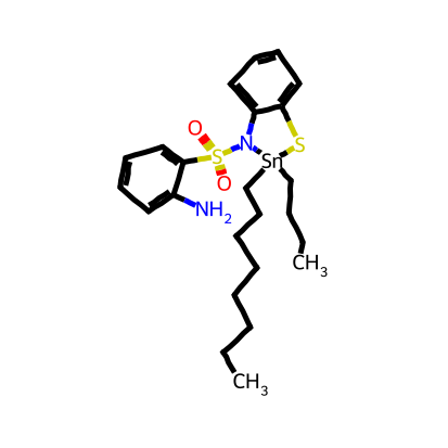 CCCCCCC[CH2][Sn]1([CH2]CCC)[S]c2ccccc2[N]1S(=O)(=O)c1ccccc1N